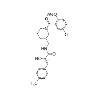 COc1ccc(Cl)cc1C(=O)N1CCCC(CNC(=O)/C(C#N)=C/c2ccc(C(F)(F)F)cc2)C1